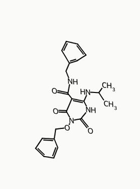 CC(C)Nc1[nH]c(=O)n(OCc2ccccc2)c(=O)c1C(=O)NCc1ccccc1